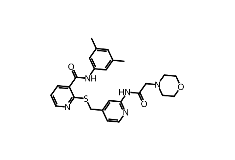 Cc1cc(C)cc(NC(=O)c2cccnc2SCc2ccnc(NC(=O)CN3CCOCC3)c2)c1